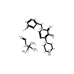 CC(C)(C)OC=O.O=c1c(Br)c(N2CCNCC2)ccn1Cc1cccc(F)c1